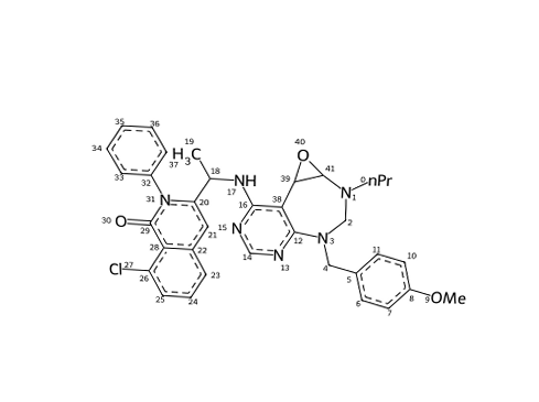 CCCN1CN(Cc2ccc(OC)cc2)c2ncnc(NC(C)c3cc4cccc(Cl)c4c(=O)n3-c3ccccc3)c2C2OC21